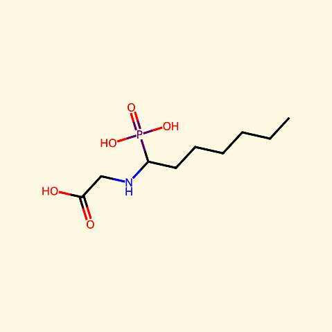 CCCCCCC(NCC(=O)O)P(=O)(O)O